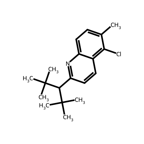 Cc1ccc2nc(C(C(C)(C)C)C(C)(C)C)ccc2c1Cl